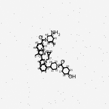 Cc1c(-c2cc3cccc(C4CCN(C(=O)C5CCC(O)CC5)CC4)c3n2CC2CC2)nn2cc(C(=O)N3C=C(F)CC(N)C3)ccc12